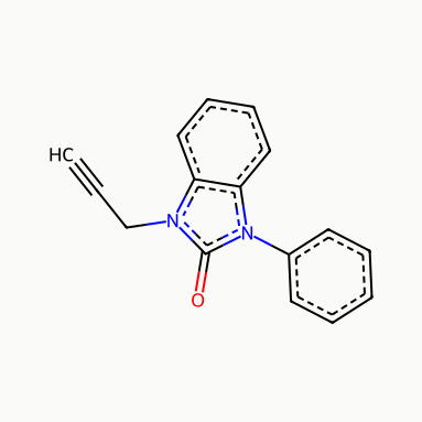 C#CCn1c(=O)n(-c2ccccc2)c2ccccc21